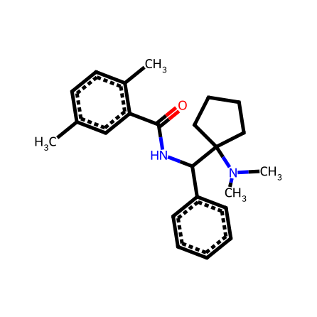 Cc1ccc(C)c(C(=O)NC(c2ccccc2)C2(N(C)C)CCCC2)c1